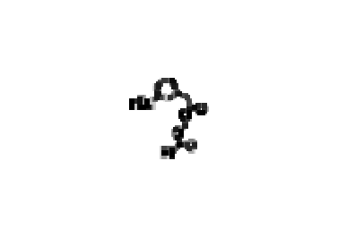 CCCCc1cccc(CC(=O)OCOC(=O)CC)c1